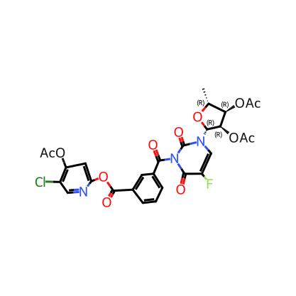 CC(=O)Oc1cc(OC(=O)c2cccc(C(=O)n3c(=O)c(F)cn([C@@H]4O[C@H](C)[C@@H](OC(C)=O)[C@H]4OC(C)=O)c3=O)c2)ncc1Cl